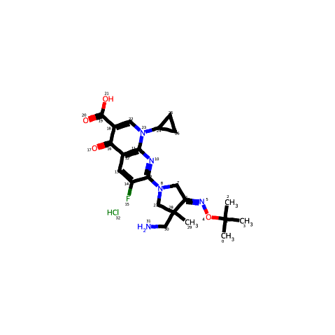 CC(C)(C)O/N=C1/CN(c2nc3c(cc2F)c(=O)c(C(=O)O)cn3C2CC2)CC1(C)CN.Cl